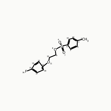 Cc1ccc(S(=O)(=O)OCCOc2ccc(F)cc2)cc1